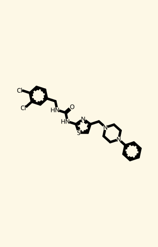 O=C(NCc1ccc(Cl)c(Cl)c1)Nc1nc(CN2CCN(c3ccccc3)CC2)cs1